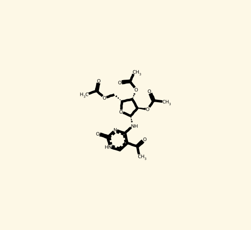 CC(=O)OC[C@H]1O[C@@H](Nc2nc(=O)[nH]cc2C(C)=O)[C@H](OC(C)=O)[C@H]1OC(C)=O